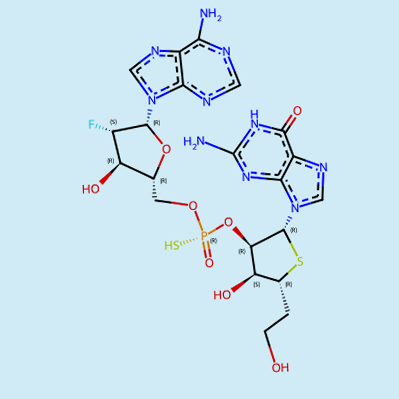 Nc1nc2c(ncn2[C@@H]2S[C@H](CCO)[C@@H](O)[C@H]2O[P@](=O)(S)OC[C@H]2O[C@@H](n3cnc4c(N)ncnc43)[C@@H](F)[C@@H]2O)c(=O)[nH]1